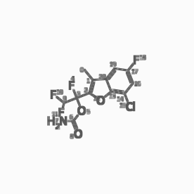 Cc1c(C(F)(OC(N)=O)C(F)F)oc2c(Cl)cc(F)cc12